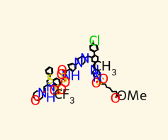 COC(=O)CCCCCCS(=O)(=O)N1CCN(C[C@]2(C)CCC(c3ccc(Cl)cc3)=C(CN3CCN(c4ccc(C(=O)NS(=O)(=O)c5ccc(NC(CCN6CCCOCC6)CSc6ccccc6)c(S(=O)(=O)C(F)(F)F)c5)cc4)CC3)C2)CC1